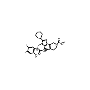 COC(=O)N1CCc2ccc3c(nc(C4CCCCC4)n3C[C@H](C(=O)O)c3cc(F)c(C)cc3OC)c2C1